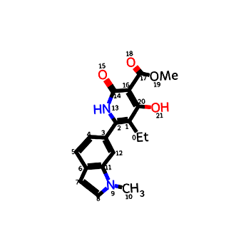 CCc1c(-c2ccc3ccn(C)c3c2)[nH]c(=O)c(C(=O)OC)c1O